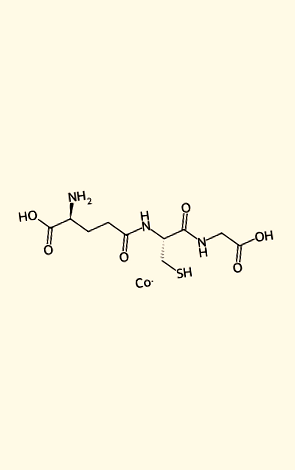 N[C@@H](CCC(=O)N[C@@H](CS)C(=O)NCC(=O)O)C(=O)O.[Co]